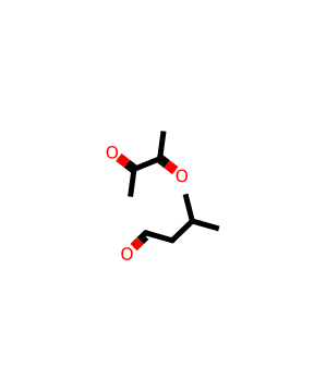 CC(=O)C(C)=O.CC(C)CC=O